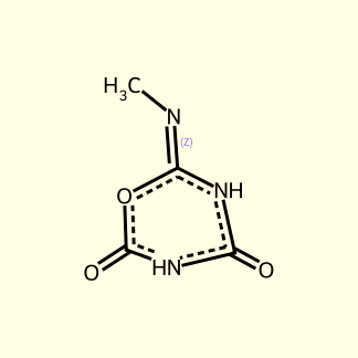 C/N=c1/[nH]c(=O)[nH]c(=O)o1